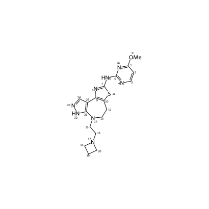 COc1ccnc(Nc2nc3c(s2)CCN(CCN2CCC2)c2[nH]ncc2-3)n1